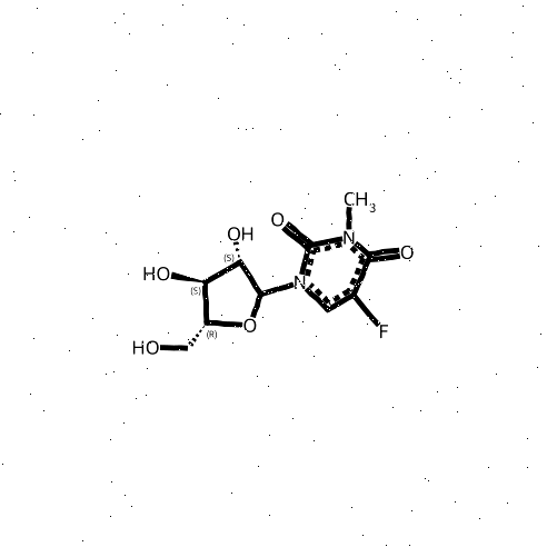 Cn1c(=O)c(F)cn(C2O[C@H](CO)[C@@H](O)[C@@H]2O)c1=O